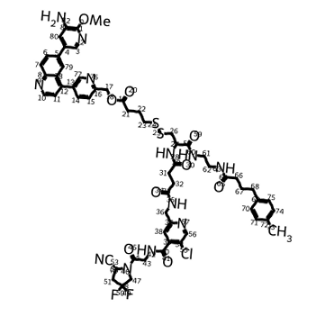 COc1ncc(-c2ccc3nccc(-c4ccc(COC(=O)CCCSSCC(NC(=O)CCC(=O)NCc5cc(C(=O)NCC(=O)N6CC(F)(F)C[C@H]6C#N)c(Cl)cn5)C(=O)NCCNC(=O)CCCc5ccc(C)cc5)nc4)c3c2)cc1N